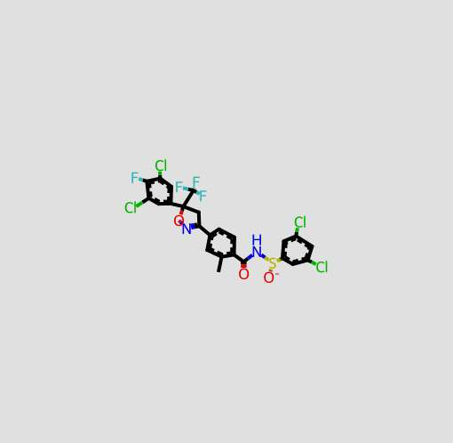 Cc1cc(C2=NOC(c3cc(Cl)c(F)c(Cl)c3)(C(F)(F)F)C2)ccc1C(=O)N[S+]([O-])c1cc(Cl)cc(Cl)c1